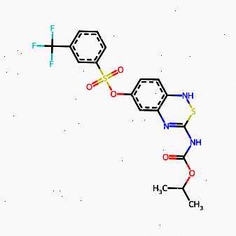 CC(C)OC(=O)NC1=Nc2cc(OS(=O)(=O)c3cccc(C(F)(F)F)c3)ccc2NS1